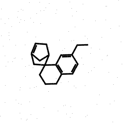 CCc1ccc2c(c1)C1(CCC2)CC2=CCC1C2